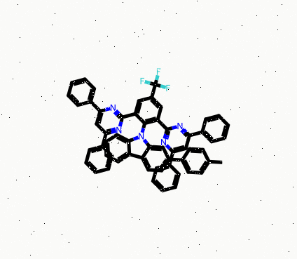 Cc1ccc(-c2ccc3c4ccccc4n(-c4c(-c5nc(-c6ccccc6)cc(-c6ccccc6)n5)cc(C(F)(F)F)cc4-c4nc(-c5ccccc5)cc(-c5ccccc5)n4)c3c2)cc1